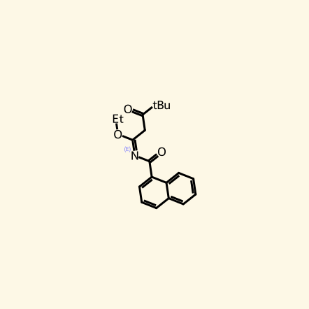 CCO/C(CC(=O)C(C)(C)C)=N/C(=O)c1cccc2ccccc12